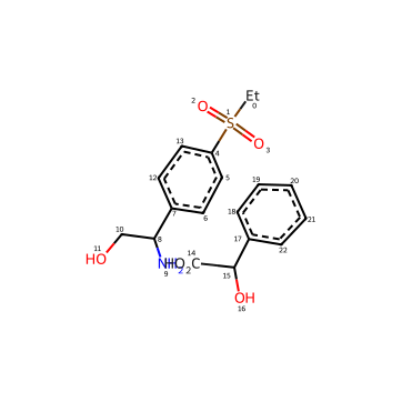 CCS(=O)(=O)c1ccc(C(N)CO)cc1.O=C(O)C(O)c1ccccc1